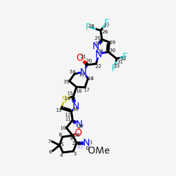 CO/N=C1\CCC(C)(C)CC12CC(c1csc(C3CCN(C(=O)Cn4nc(C(F)F)cc4C(F)F)CC3)n1)=NO2